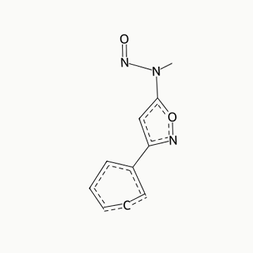 CN(N=O)c1cc(-c2ccccc2)no1